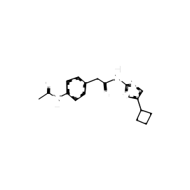 CC(=O)Nc1ccc(CC(=O)Nc2ncc(C3CCC3)s2)cc1